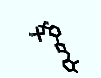 Cc1cccc(Cn2nnc(-c3cccc(C(C)(O)CS(N)(=O)=O)n3)n2)c1C